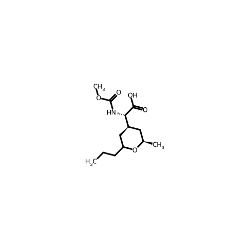 CCCC1C[C@@H]([C@H](NC(=O)OC)C(=O)O)C[C@@H](C)O1